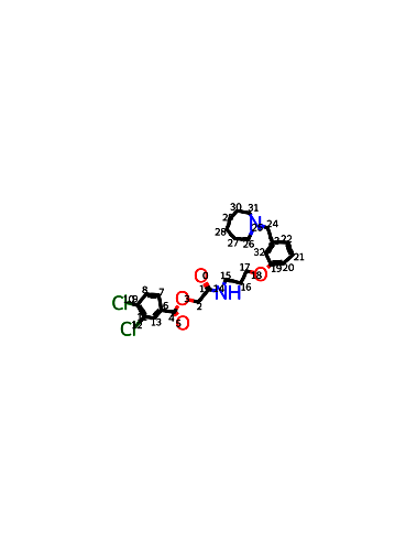 O=C(COC(=O)c1ccc(Cl)c(Cl)c1)NCCCOc1cccc(CN2CCCCCC2)c1